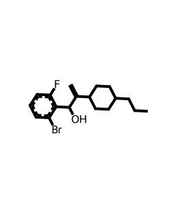 C=C(C1CCC(CCC)CC1)C(O)c1c(F)cccc1Br